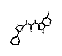 O=C(Nc1nc(-c2ccccc2)cs1)Nc1c[nH]c2ncc(F)cc12